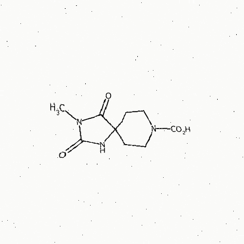 CN1C(=O)NC2(CCN(C(=O)O)CC2)C1=O